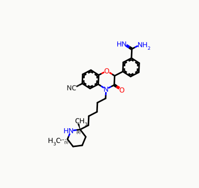 C[C@H]1CCC[C@@](C)(CCCCCN2C(=O)C(c3cccc(C(=N)N)c3)Oc3ccc(C#N)cc32)N1